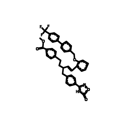 COC(=O)c1ccc(CCC(/C=C/c2ccccc2OCc2ccc(-c3ccc(C(F)(F)F)cc3)cc2)Cc2ccc(-c3noc(=O)[nH]3)cc2)cc1